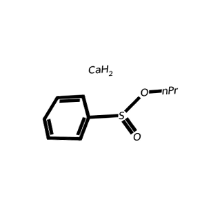 CCCOS(=O)c1ccccc1.[CaH2]